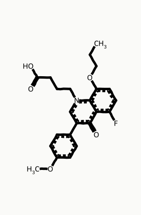 CCCOc1ccc(F)c2c(=O)c(-c3ccc(OC)cc3)cn(CCCC(=O)O)c12